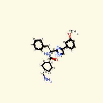 COc1cccc(-c2c[nH]c([C@H](Cc3ccccc3)NC(=O)[C@H]3CC[C@H](CN)CC3)n2)c1